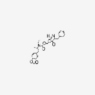 CCN(C(=O)OCOC(=O)C(N)Cc1ccccc1)C(C)Cc1ccc2c(c1)OCO2